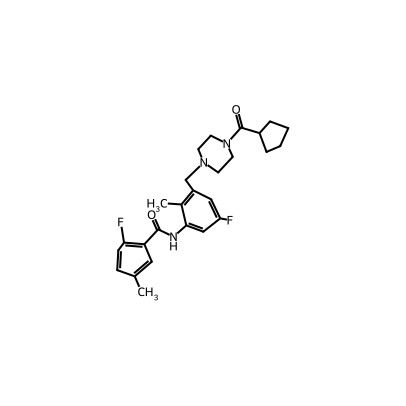 Cc1ccc(F)c(C(=O)Nc2cc(F)cc(CN3CCN(C(=O)C4CCCC4)CC3)c2C)c1